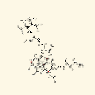 CCOC(COP(N(C(C)C)C(C)C)N(C(C)C)C(C)C)OCCSC(=O)CCN1C(C)(C)CCC(CC(C)N(C(C)C)P(OCC(OCC)OCCSC(=O)/C(C)=C(\C)N)N(C(C)C)C(C)C)C1(C)C